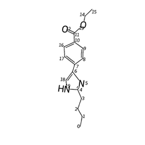 CCCCc1nc(-c2ccc(C(=O)OCC)cc2)c[nH]1